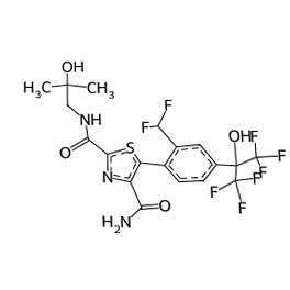 CC(C)(O)CNC(=O)c1nc(C(N)=O)c(-c2ccc(C(O)(C(F)(F)F)C(F)(F)F)cc2C(F)F)s1